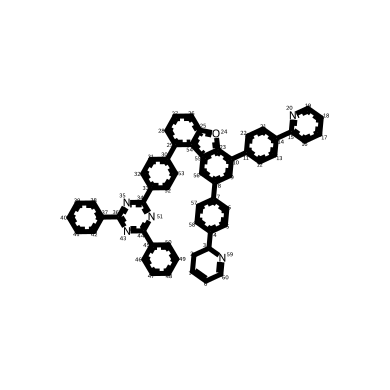 C1=CCC(c2ccc(-c3cc(-c4ccc(-c5ccccn5)cc4)c4oc5cccc(-c6ccc(-c7nc(-c8ccccc8)nc(-c8ccccc8)n7)cc6)c5c4c3)cc2)N=C1